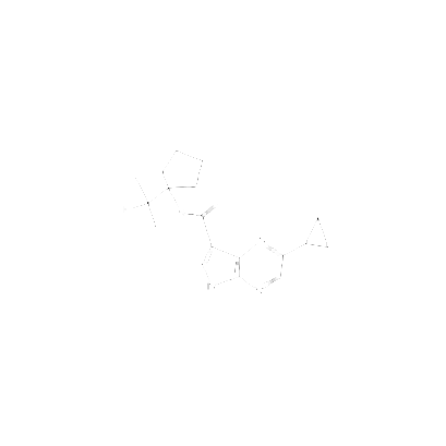 CC(C)(O)C1(NC(=O)c2c[nH]c3ncc(C4CC4)nc23)CCCC1